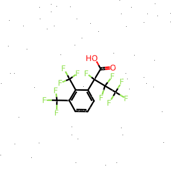 O=C(O)C(F)(c1cccc(C(F)(F)F)c1C(F)(F)F)C(F)(F)C(F)(F)F